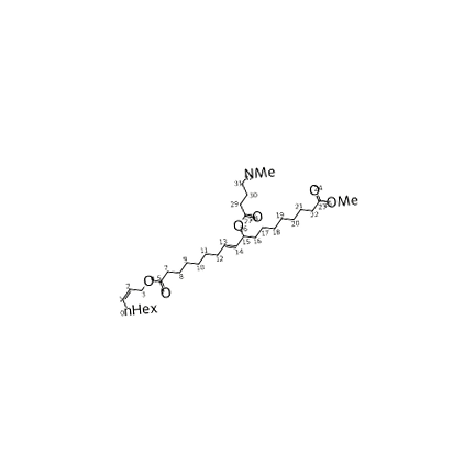 CCCCCC/C=C\COC(=O)CCCCCC/C=C/C(CCCCCCCC(=O)OC)OC(=O)CCCNC